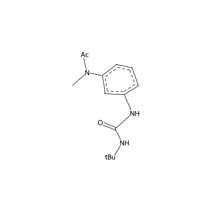 CC(=O)N(C)c1cccc(NC(=O)NC(C)(C)C)c1